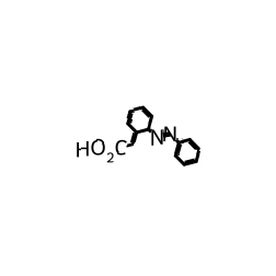 O=C(O)C=C1C=CC=CC1N=Nc1ccccc1